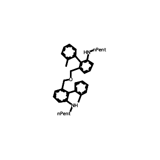 CCCCCNc1cccc(COCc2cccc(NCCCCC)c2-c2ccccc2C)c1-c1ccccc1C